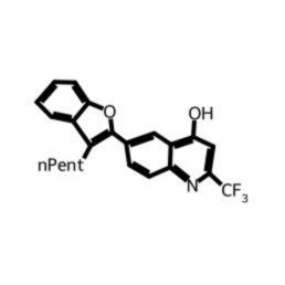 CCCCCc1c(-c2ccc3nc(C(F)(F)F)cc(O)c3c2)oc2ccccc12